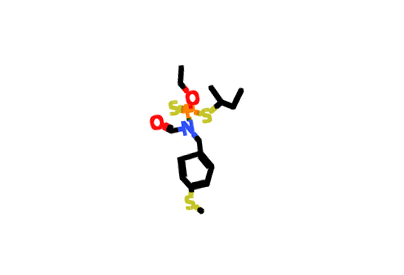 CCOP(=S)(SC(C)CC)N(C=O)Cc1ccc(SC)cc1